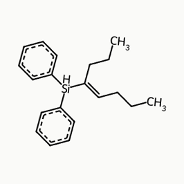 CCCC=C(CCC)[SiH](c1ccccc1)c1ccccc1